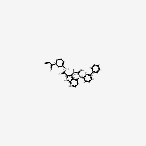 C=CC(=O)N1CCC=C(NC(=O)c2sc3nccc4c3c2NC(=O)N4c2cccc(-c3ccccc3)n2)C1